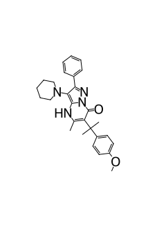 COc1ccc(C(C)(C)c2c(C)[nH]c3c(N4CCCCC4)c(-c4ccccc4)nn3c2=O)cc1